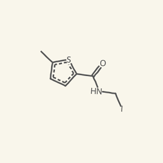 Cc1ccc(C(=O)NCI)s1